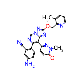 Cc1cccnc1COc1nc2c(-c3ccc(=O)n(C)n3)c(-c3ccc(N)cc3C#N)ncn2n1